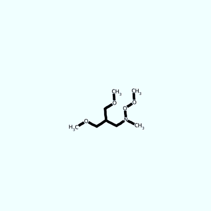 COCC(COC)CN(C)OOC